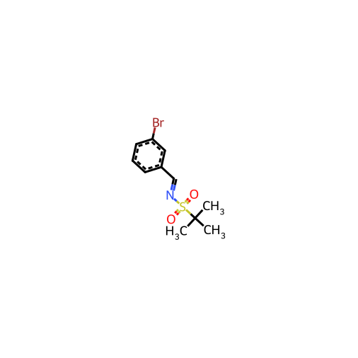 CC(C)(C)S(=O)(=O)N=Cc1cccc(Br)c1